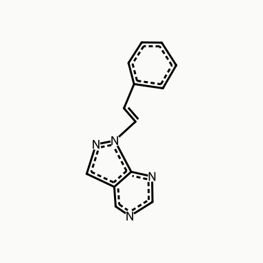 C(=Cn1ncc2cncnc21)c1ccccc1